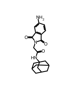 Nc1ccc2c(c1)C(=O)N(CC(=O)NC13CC4CC(CC(C4)C1)C3)C2=O